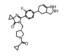 O=C(C1CC1)N1CC[C@@H](CN2C(=O)C3(CC3)N=C2c2ccc(C3CC=C4NNCC4C3)cc2F)C1